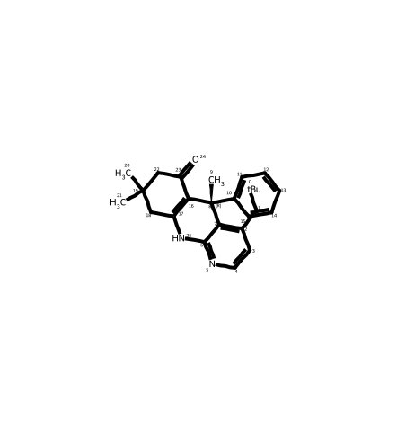 CC(C)(C)Cc1ccnc2c1[C@@](C)(c1ccccc1)C1=C(CC(C)(C)CC1=O)N2